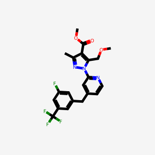 COCc1c(C(=O)OC)c(C)nn1-c1cc(Cc2cc(F)cc(C(F)(F)F)c2)ccn1